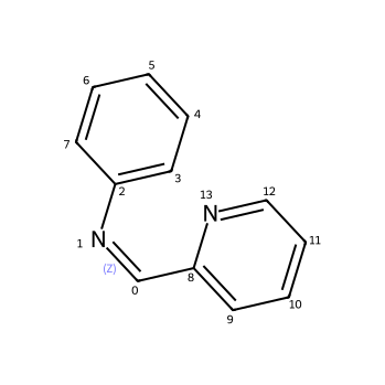 C(=N/c1ccccc1)/c1ccccn1